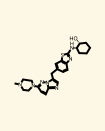 CN1CCN(c2ccc3ncc(Cc4ccc5nc(N[C@@H]6CCCC[C@H]6O)sc5c4)n3n2)CC1